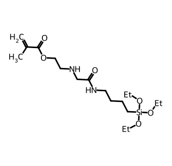 C=C(C)C(=O)OCCNCC(=O)NCCCC[Si](OCC)(OCC)OCC